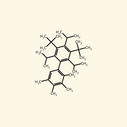 Cc1cc(-c2c(C(C)C)c(C(C)(C)C)c(C(C)C)c(C(C)(C)C)c2C(C)C)c(C)c(C)c1C